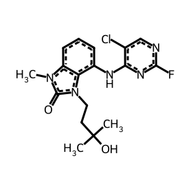 Cn1c(=O)n(CCC(C)(C)O)c2c(Nc3nc(F)ncc3Cl)cccc21